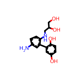 Nc1ccc(NCC(O)CO)c(-c2cc(O)ccc2O)c1